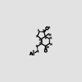 CC(=O)CCC1=C2CCC(=O)C2(C)CCC1=O